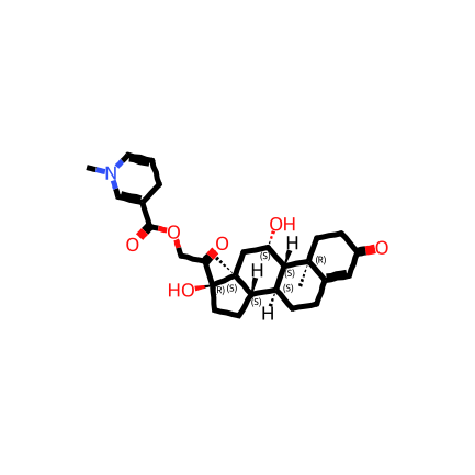 CN1C=CCC(C(=O)OCC(=O)[C@@]2(O)CC[C@H]3[C@@H]4CCC5=CC(=O)CC[C@]5(C)[C@H]4[C@@H](O)C[C@@]32C)=C1